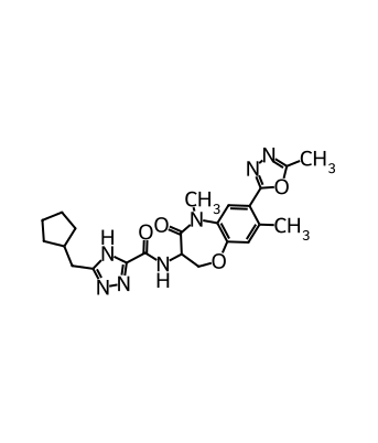 Cc1nnc(-c2cc3c(cc2C)OCC(NC(=O)c2nnc(CC4CCCC4)[nH]2)C(=O)N3C)o1